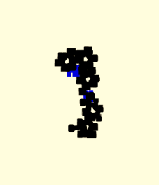 CC1C=C(c2cccc(/C=N/Cc3cccc(Nc4ccccc4-c4ccccc4)c3)c2)C=CC1